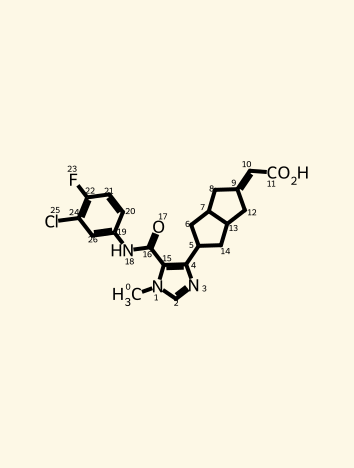 Cn1cnc(C2CC3CC(=CC(=O)O)CC3C2)c1C(=O)Nc1ccc(F)c(Cl)c1